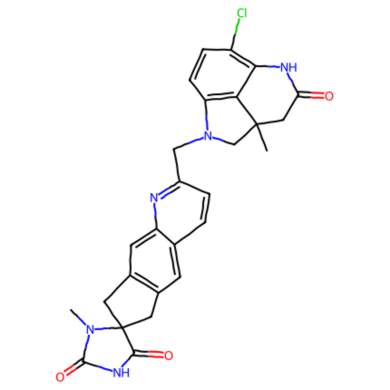 CN1C(=O)NC(=O)C12Cc1cc3ccc(CN4CC5(C)CC(=O)Nc6c(Cl)ccc4c65)nc3cc1C2